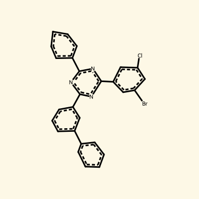 Clc1cc(Br)cc(-c2nc(-c3ccccc3)nc(-c3cccc(-c4ccccc4)c3)n2)c1